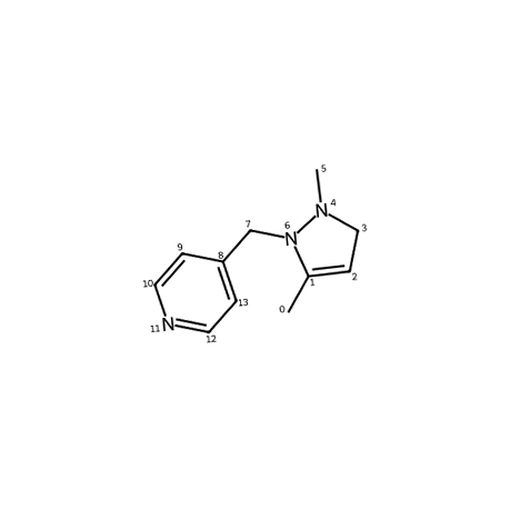 CC1=CCN(C)N1Cc1ccncc1